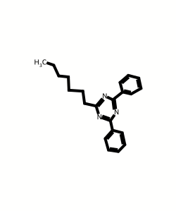 CCCCCCCc1nc(-c2ccccc2)nc(-c2ccccc2)n1